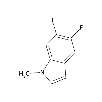 Cn1ccc2cc(F)c(I)cc21